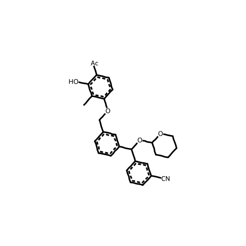 CC(=O)c1ccc(OCc2cccc(C(OC3CCCCO3)c3cccc(C#N)c3)c2)c(C)c1O